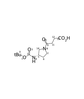 CC(C)(C)OC(=O)N[C@H]1CCN(C(=O)CCC(=O)O)C1